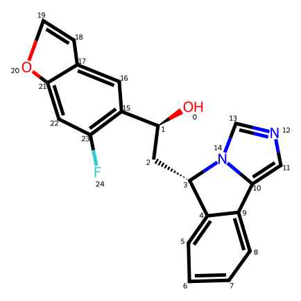 O[C@@H](C[C@H]1c2ccccc2-c2cncn21)c1cc2ccoc2cc1F